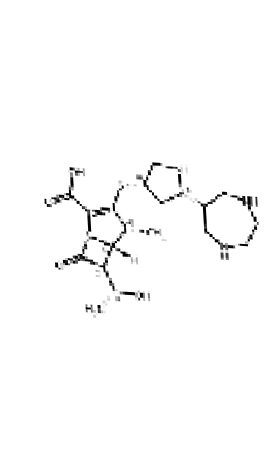 C[C@@H](O)[C@H]1C(=O)N2C(C(=O)O)=C(S[C@@H]3CN[C@H](C4CNCCNC4)C3)[C@H](C)[C@H]12